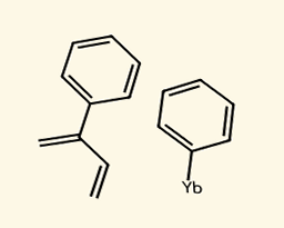 C=CC(=C)c1ccccc1.[Yb][c]1ccccc1